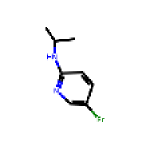 CC(C)Nc1ccc(Br)cn1